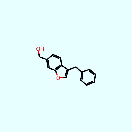 OCc1ccc2c(Cc3ccccc3)coc2c1